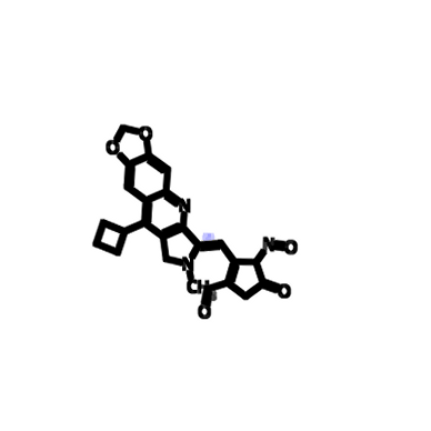 CN1Cc2c(nc3cc4c(cc3c2C2CCC2)OCO4)/C1=C/C1=C(C=O)CC(=O)C1N=O